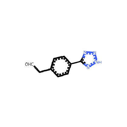 O=CCc1ccc(-c2nn[nH]n2)cc1